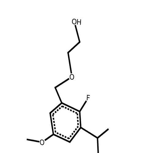 COc1cc(COCCO)c(F)c(C(C)C)c1